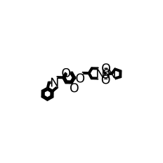 O=c1cc(CN2Cc3ccccc3C2)occ1OCC1CCN(S(=O)(=O)N2CCCC2)CC1